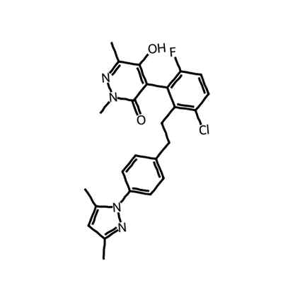 Cc1cc(C)n(-c2ccc(CCc3c(Cl)ccc(F)c3-c3c(O)c(C)nn(C)c3=O)cc2)n1